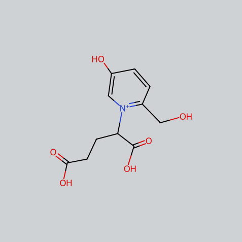 O=C(O)CCC(C(=O)O)[n+]1cc(O)ccc1CO